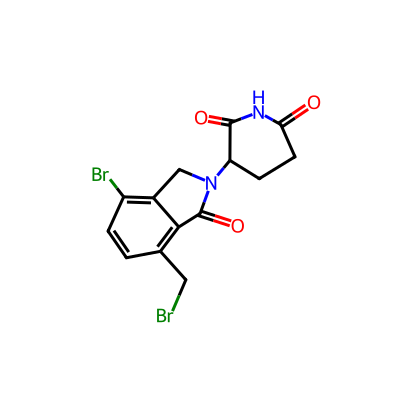 O=C1CCC(N2Cc3c(Br)ccc(CBr)c3C2=O)C(=O)N1